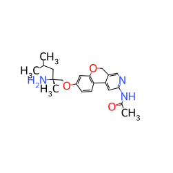 CC(=O)Nc1cc2c(cn1)COc1cc(OC[C@](C)(N)CC(C)C)ccc1-2